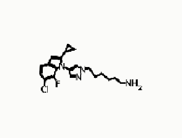 NCCCCCCn1cc(-n2c(C3CC3)cc3ccc(Cl)c(F)c32)cn1